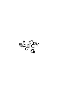 COCc1cc(C)[nH]c(=O)c1CNC(=O)c1cc(-c2cccnc2)cc2c1c(Cl)cn2C(C)C